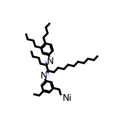 CCCCCCCCCCC(=N\c1cc(CC)cc(CC)c1)/C(CCCC)=N/c1ccc(CCCC)c(CCCC)c1.[Ni]